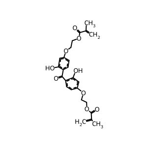 C=C(C)C(=O)OCCOc1ccc(C(=O)c2ccc(OCCOC(=O)C(=C)C)cc2O)c(O)c1